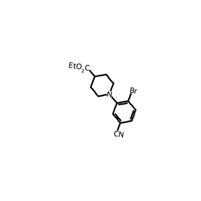 CCOC(=O)C1CCN(c2cc(C#N)ccc2Br)CC1